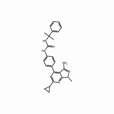 Cn1nc(N)c2c(-c3ccc(NC(=O)NC(C)(C)c4ccccc4)cc3)cc(C3CC3)nc21